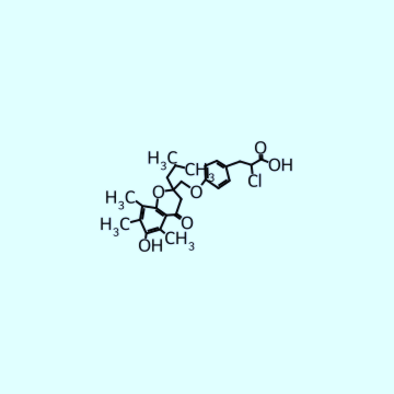 Cc1c(C)c2c(c(C)c1O)C(=O)CC(COc1ccc(CC(Cl)C(=O)O)cc1)(CC(C)C)O2